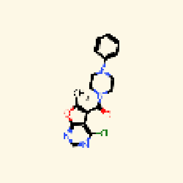 Cc1oc2ncnc(Cl)c2c1C(=O)N1CCN(c2ccccc2)CC1